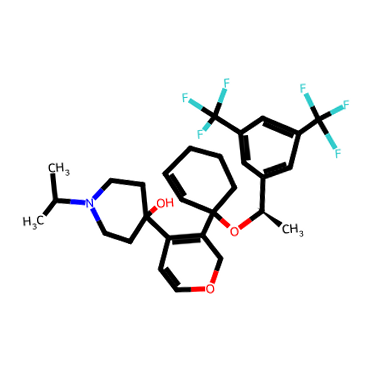 CC(C)N1CCC(O)(C2=C(C3(O[C@H](C)c4cc(C(F)(F)F)cc(C(F)(F)F)c4)C=CCCC3)COC=C2)CC1